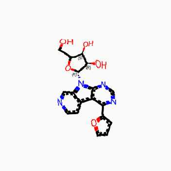 OCC1O[C@@H](n2c3cnccc3c3c(-c4ccco4)ncnc32)[C@H](O)[C@@H]1O